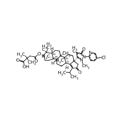 Cc1c([C@@]23CC[C@]4(C)[C@H](CC[C@@H]5[C@@]6(C)CC[C@H](OC(=O)CC(C)(C)C(=O)O)C(C)(C)[C@@H]6CC[C@]54C)C2=C(C(C)C)C(=O)C3)n(C)n(-c2ccc(Cl)cn2)c1=O